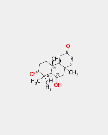 CC12C=CC(=O)C=C1[C@@]1(C)CCC(=O)C(C)(C)[C@@H]1[C@@H](O)C2